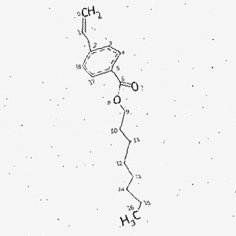 C=Cc1ccc(C(=O)OCCCCCCCC)cc1